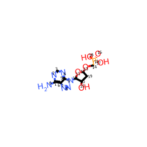 Nc1ncnc2c1nnn2C1OC(OCP(=O)(O)O)CC1O